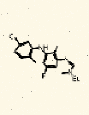 CCN(C)/C=N\c1cc(F)cc(Nc2cc(Cl)ccc2C)c1C